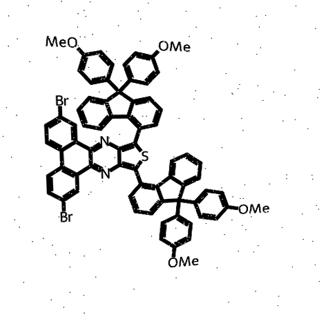 COc1ccc(C2(c3ccc(OC)cc3)c3ccccc3-c3c(-c4sc(-c5cccc6c5-c5ccccc5C6(c5ccc(OC)cc5)c5ccc(OC)cc5)c5nc6c7cc(Br)ccc7c7ccc(Br)cc7c6nc45)cccc32)cc1